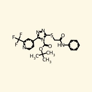 CC(C)(C)OC(=O)n1c(SCC(=O)Nc2ccccc2)nnc1-c1ccnc(C(F)(F)F)c1